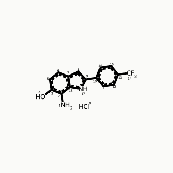 Cl.Nc1c(O)ccc2cc(-c3ccc(C(F)(F)F)cc3)[nH]c12